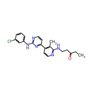 CCC(=O)CCNc1nccc(-c2ccnc(Nc3cccc(Cl)c3)n2)c1C